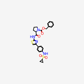 O=C(Nc1nc(-c2ccc(NS(=O)(=O)C3CC3)cc2)cs1)C1CCCN1C(=O)OCc1ccccc1